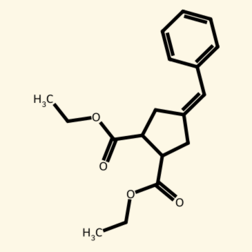 CCOC(=O)C1CC(=Cc2ccccc2)CC1C(=O)OCC